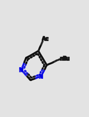 CCCCc1ncncc1C(C)=O